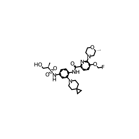 C[C@@H]1CN(c2nc(C(=O)Nc3ccc(NS(=O)(=O)[C@H](C)CO)cc3N3CCC4(CC3)CC4)ccc2OCF)CCO1